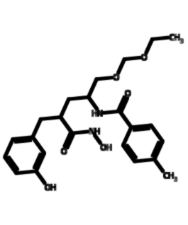 CCOCOCC(CC(Cc1cccc(O)c1)C(=O)NO)NC(=O)c1ccc(C)cc1